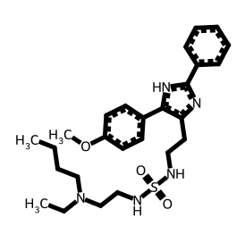 CCCCN(CC)CCNS(=O)(=O)NCCc1nc(-c2ccccc2)[nH]c1-c1ccc(OC)cc1